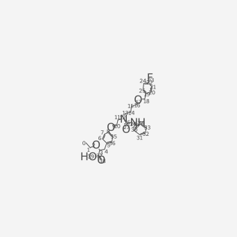 CCOC(Cc1ccc(OCCN(CCCCOCc2ccc(F)cc2)C(=O)Nc2ccccc2)cc1)C(=O)O